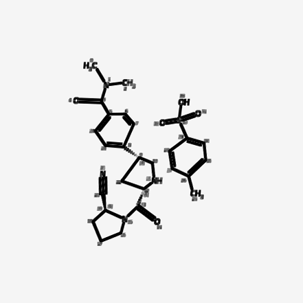 CN(C)C(=O)c1ccc([C@@H]2CN[C@H](C(=O)N3CCC[C@H]3C#N)C2)cc1.Cc1ccc(S(=O)(=O)O)cc1